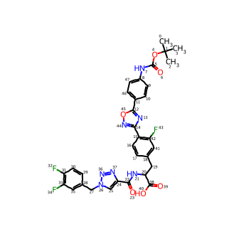 CC(C)(C)OC(=O)Nc1ccc(-c2nc(-c3ccc(CC(NC(=O)c4cn(Cc5ccc(F)c(F)c5)nn4)C(=O)O)cc3F)no2)cc1